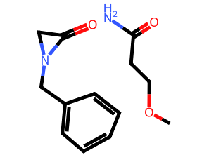 COCCC(N)=O.O=C1CN1Cc1ccccc1